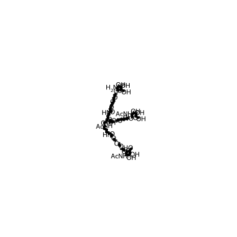 CC(=O)N[C@H]1[C@H](OCCOCCOCCOCC(=O)NCCCC[C@H](NC(=O)C(CCCCNC(=O)COCCOCCOCCO[C@@H]2O[C@H](CO)[C@H](O)[C@H](O)[C@H]2N)NC(=O)COCCOCCOCCO[C@@H]2O[C@H](CO)[C@H](O)[C@H](O)[C@H]2NC(C)=O)C(C)=O)O[C@H](CO)[C@H](O)[C@@H]1O